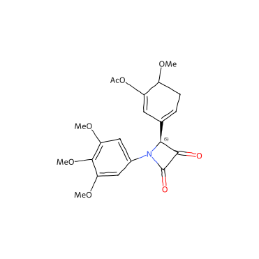 COc1cc(N2C(=O)C(=O)[C@@H]2C2=CCC(OC)C(OC(C)=O)=C2)cc(OC)c1OC